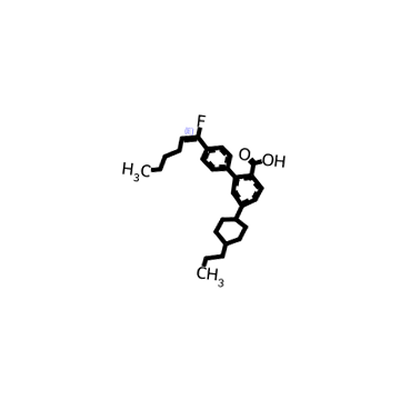 CCCC/C=C(/F)c1ccc(-c2cc(C3CCC(CCC)CC3)ccc2C(=O)O)cc1